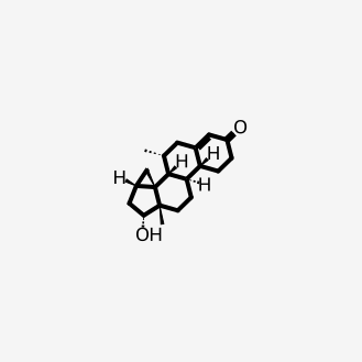 C[C@@H]1CC2=CC(=O)CC[C@@H]2[C@H]2CC[C@]3(C)[C@H](O)C[C@@H]4C[C@]43[C@@H]21